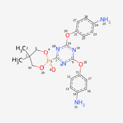 CC1(C)COP(=O)(c2nc(Oc3ccc(N)cc3)nc(Oc3ccc(N)cc3)n2)OC1